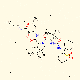 C=CCNC(=O)C(=O)[C@H](CCC)NC(=O)[C@@H]1[C@@H]2[C@H](CN1C(=O)[C@@H](NC(=O)NC1(C3CCCCS3(=O)=O)CCCCC1)C(C)(C)C)C2(C)C